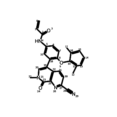 C=CC(=O)Nc1ccc(Oc2c(C)cccc2C)c(-c2cn(C)c(=O)c3nc(C#N)ccc23)c1